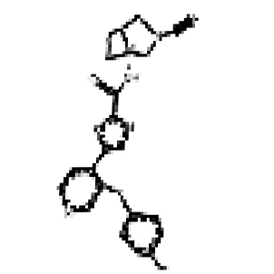 N#CN1CC2CC[C@]2(NC(=O)c2ncc(-c3ccncc3Sc3ccc(F)cc3)s2)C1